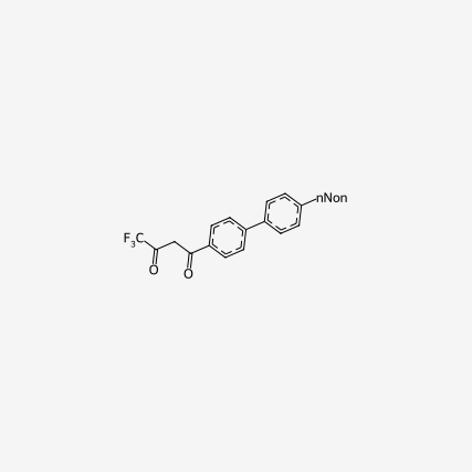 CCCCCCCCCc1ccc(-c2ccc(C(=O)CC(=O)C(F)(F)F)cc2)cc1